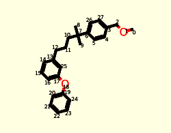 COCc1ccc(C(C)(C)CCCc2cccc(Oc3ccccc3)c2)cc1